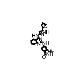 O=c1[nH][nH]c2cc(Nc3nc(Nc4cc(C5CC=CO5)[nH]n4)c4ccccc4n3)ccc12